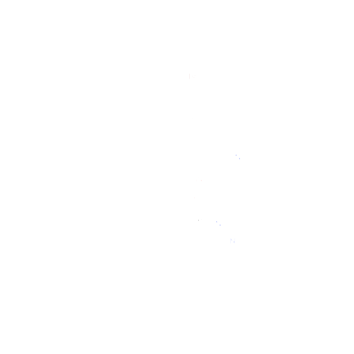 Cc1cc(Cc2cccc(F)c2)c(=O)n(C(C)C(=O)Nc2ccc(Br)cc2)n1